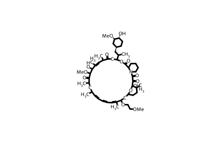 COCCOC1CC2CCC(C)C(O)(O2)C(=O)C(=O)N2CCCCC2C(=O)OC(C(C)C[C@@H]2CC[C@@H](O)[C@H](OC)C2)CC(=O)C(C)C=C(C)C(O)C(OC)C(=O)C(C)CC(C)C=CC=CC=C1C